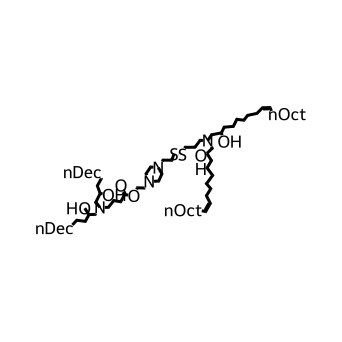 CCCCCCCC/C=C\CCCCCCC(O)CN(CCCSSCCN1CCN(CCOC(=O)CCCN(CC(O)CCCCCCCCCCCC)CC(O)CCCCCCCCCCCC)CC1)CC(O)CCCCCC/C=C\CCCCCCCC